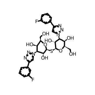 OC[C@H]1O[C@@H](S[C@@H]2O[C@H](CO)[C@H](O)[C@H](n3cc(-c4cccc(F)c4)nn3)[C@H]2O)[C@H](O)[C@@H](n2cc(-c3cccc(F)c3)nn2)[C@H]1O